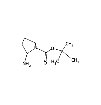 CC(C)(C)OC(=O)N1CCCC1N